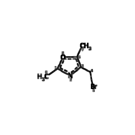 Cc1nc(CBr)c(C)o1